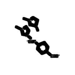 Cn1cc[n+](C)c1.Cn1cc[n+](C)c1.O=C([O-])c1ccc(C(=O)[O-])cc1